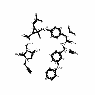 C#CCN1CC(=O)N(COC(=O)C2C(C=C(C)C)C2(C)C)C1=O.CC(C)[C@H](C(=O)O[C@H](C#N)c1cccc(Oc2ccccc2)c1)c1ccc(Cl)cc1